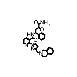 NC(=O)C(=O)CC(NC(=O)c1cccnc1-n1ccc(CN2CCc3ccccc3C2)n1)c1ccccc1